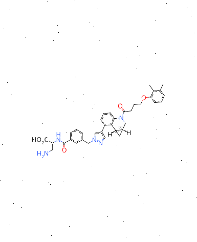 Cc1cccc(OCCCC(=O)N2C[C@@H]3C[C@@H]3c3c(-c4cnn(Cc5cccc(C(=O)NC(CN)C(=O)O)c5)c4)cccc32)c1C